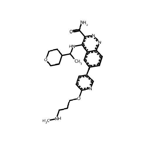 CNCCCOc1ccc(-c2ccc3nnc(C(N)=O)c(NC(C)C4CCOCC4)c3c2)cn1